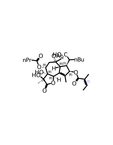 C/C=C(/C)C(=O)O[C@H]1C(C)=C2[C@H]3OC(=O)[C@@](C)(O)[C@@]3(O)[C@H](OC(=O)CCC)C[C@](C)(OC(C)=O)[C@@H]2[C@H]1C(CCCC)C(=O)O